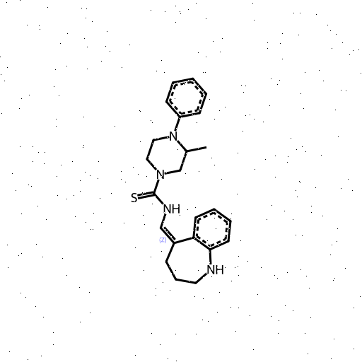 CC1CN(C(=S)N/C=C2/CCCNc3ccccc32)CCN1c1ccccc1